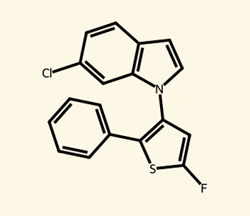 Fc1cc(-n2ccc3ccc(Cl)cc32)c(-c2ccccc2)s1